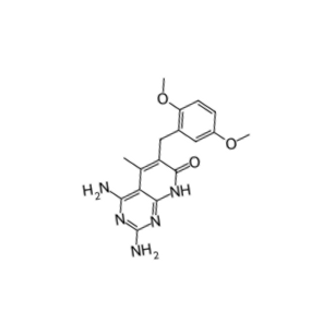 COc1ccc(OC)c(Cc2c(C)c3c(N)nc(N)nc3[nH]c2=O)c1